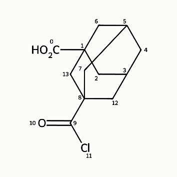 O=C(O)C12CC3CC(C1)CC(C(=O)Cl)(C3)C2